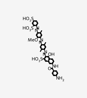 COc1cc(N=Nc2ccc(S(=O)(=O)O)cc2S(=O)(=O)O)c(C)cc1N=Nc1cc(C)c(N=Nc2c(S(=O)(=O)O)cc3cc(NC(=O)c4ccc(N)cc4)ccc3c2O)cc1C